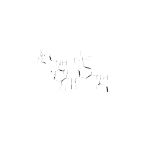 C=CC(=O)Nc1cc(Nc2nc(Nc3cnn(C)c3)ncc2Cl)cc(C(F)(F)F)c1